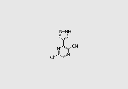 N#Cc1ncc(Cl)nc1-c1cn[nH]c1